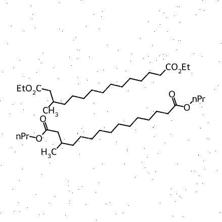 CCCOC(=O)CCCCCCCCCCCC(C)CC(=O)OCCC.CCOC(=O)CCCCCCCCCCCC(C)CC(=O)OCC